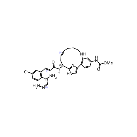 COC(=O)Nc1ccc2c(c1)NCCC/C=C\C[C@H](NC(=O)/C=C/c1cc(Cl)ccc1N(N)/C=N\N)c1nc-2c[nH]1